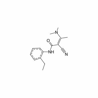 CCc1ccccc1NC(=O)C(C#N)=C(C)N(C)C